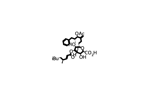 C=C(CC[C@@]12O[C@@H]([C@@H](O)[C@H](C(=O)O)O1)[C@H](OC(=O)/C=C/[C@@H](C)C[C@@H](C)CC)[C@H]2O)[C@@H](OC(C)=O)[C@H](C)Cc1ccccc1